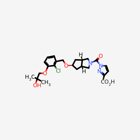 CC(C)(O)COc1cccc(CO[C@H]2C[C@@H]3CN(C(=O)n4ccc(C(=O)O)n4)C[C@@H]3C2)c1Cl